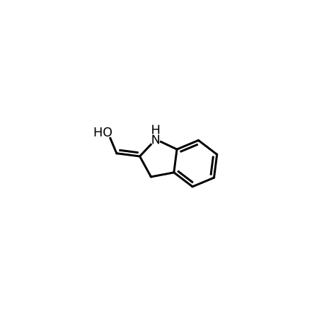 OC=C1Cc2ccccc2N1